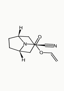 C=COC(=O)N1[C@@H]2CC[C@H]1C[C@H](C#N)C2